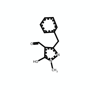 Cn1nc(Cc2ccccc2)c(C=O)c1O